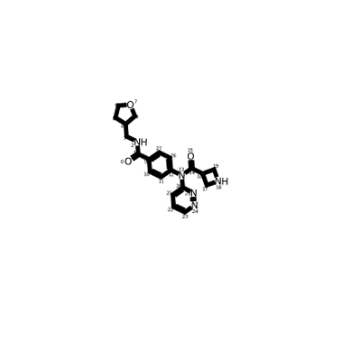 O=C(NCC1CCOC1)c1ccc(N(C(=O)C2CNC2)c2cccnn2)cc1